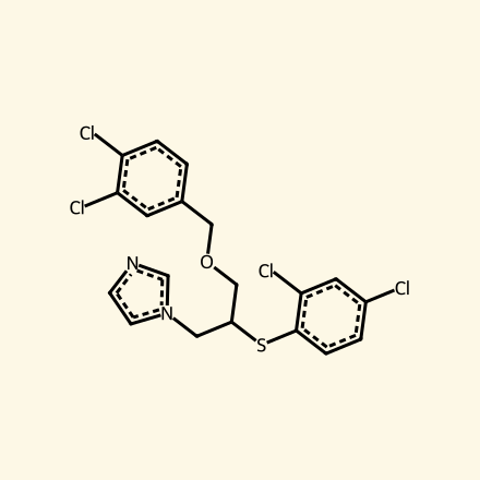 Clc1ccc(SC(COCc2ccc(Cl)c(Cl)c2)Cn2ccnc2)c(Cl)c1